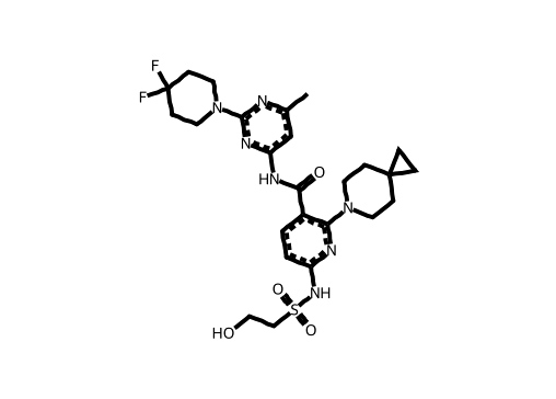 Cc1cc(NC(=O)c2ccc(NS(=O)(=O)CCO)nc2N2CCC3(CC2)CC3)nc(N2CCC(F)(F)CC2)n1